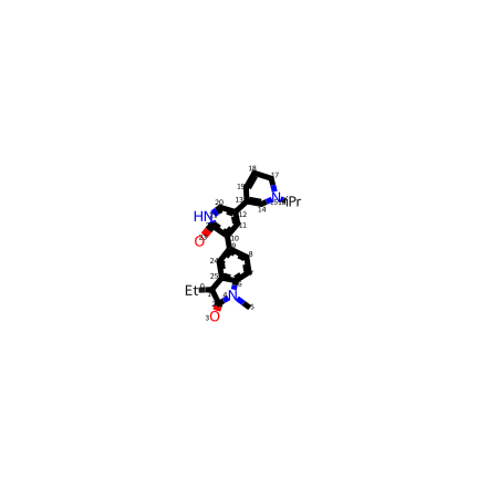 CCC1C(=O)N(C)c2ccc(-c3cc(C4=CN(C(C)C)CC=C4)c[nH]c3=O)cc21